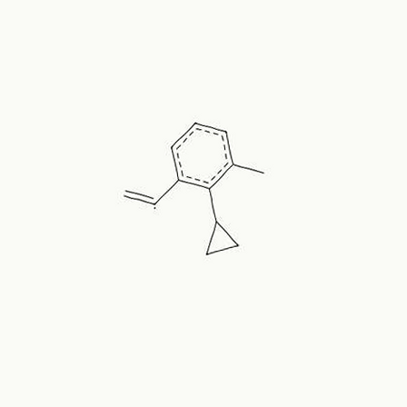 C=[C]c1cccc(C)c1C1CC1